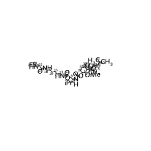 COC1C(OC(=O)N[C@@H](COC(=O)NCCCCCCNC(=O)CNSF)C(C)C)CCC2(CO2)C1C(C)(C)OCC=C(C)C